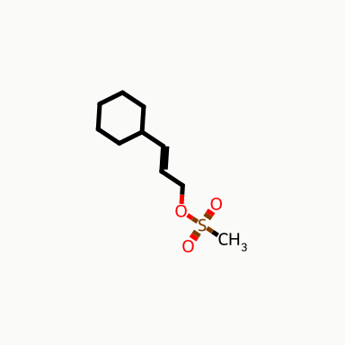 CS(=O)(=O)OCC=CC1CCCCC1